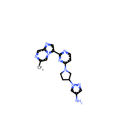 Nc1cnn(C2CCN(c3ccnc(-c4cnc5cnc(C(F)(F)F)cn45)n3)C2)c1